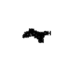 Cc1oncc1S(=O)(=O)N(CCO)C[C@H]1CCC2=Cc3c(cnn3-c3ccc(F)cc3)C[C@@]21C